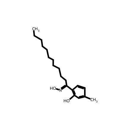 CCCCCCCCCCCC(=NO)c1ccc(C)cc1O